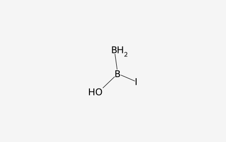 BB(O)I